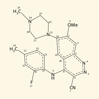 COc1cc2nnc(C#N)c(Nc3ccc(C)cc3F)c2cc1N1CCN(C)CC1